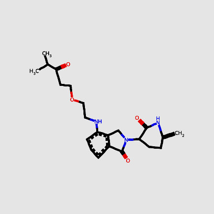 C=C1CCC(N2Cc3c(NCCOCCC(=O)C(C)C)cccc3C2=O)C(=O)N1